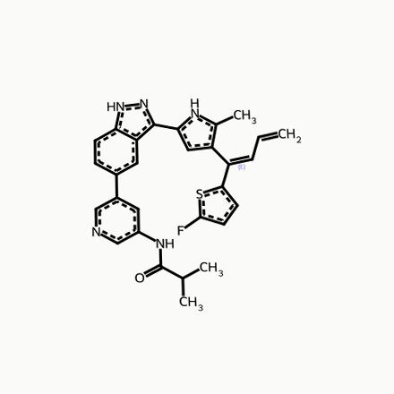 C=C/C=C(/c1ccc(F)s1)c1cc(-c2n[nH]c3ccc(-c4cncc(NC(=O)C(C)C)c4)cc23)[nH]c1C